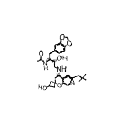 CC(=O)N[C@@H](Cc1ccc2c(c1)OCO2)[C@H](O)CN[C@H]1CC2(CC(O)C2)Oc2cnc(CC(C)(C)C)cc21